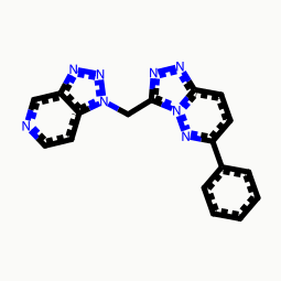 c1ccc(-c2ccc3nnc(Cn4nnc5cnccc54)n3n2)cc1